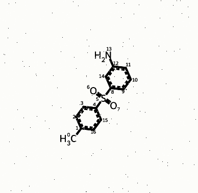 Cc1ccc(S(=O)(=O)c2[c]ccc(N)c2)cc1